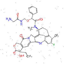 CC[C@@]1(O)C(=O)OCc2c1cc1n(c2=O)Cc2c-1nc1cc(F)c(C)c3c1c2[C@@H](N(C)C(=O)C(OCNC(=O)CN)c1ccccc1)CC3